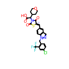 O=C(O)C(C1CCOCC1)N1C(=O)S/C(=C\c2ccc3c(cnn3Cc3ccc(Cl)cc3C(F)(F)F)c2)C1=O